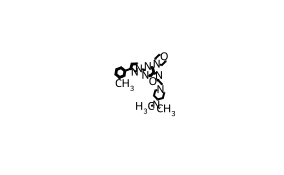 Cc1cccc(-c2ccn(-c3nc(N4CCOCC4)c4nc(CN5CCC(N(C)C)CC5)oc4n3)n2)c1